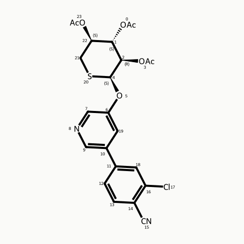 CC(=O)O[C@@H]1[C@@H](OC(C)=O)[C@@H](Oc2cncc(-c3ccc(C#N)c(Cl)c3)c2)SC[C@H]1OC(C)=O